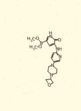 COB(OC)c1c[nH]c(=O)c(Nc2ccc(N3CCN(C4COC4)CC3)cn2)c1